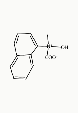 C[N+](O)(C(=O)[O-])c1cccc2ccccc12